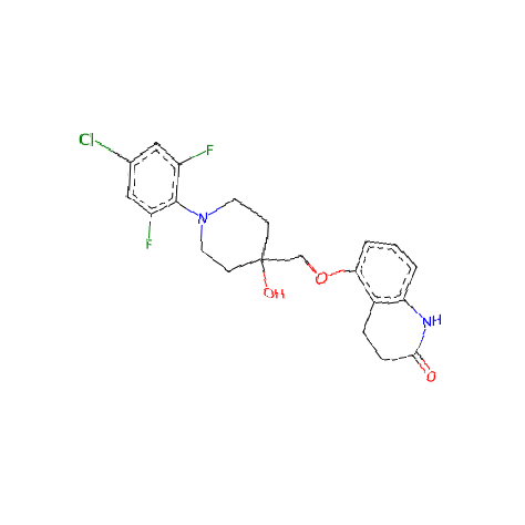 O=C1CCc2c(cccc2OCC2(O)CCN(c3c(F)cc(Cl)cc3F)CC2)N1